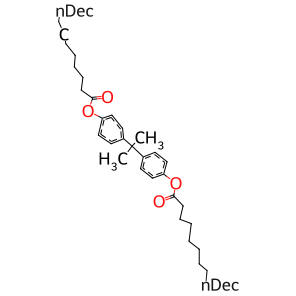 CCCCCCCCCCCCCCCCCC(=O)Oc1ccc(C(C)(C)c2ccc(OC(=O)CCCCCCCCCCCCCCCCC)cc2)cc1